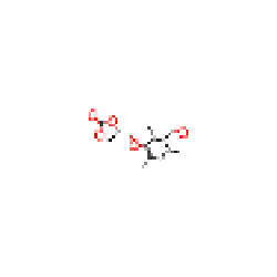 Cc1cc(C)c(OCC2COC(=O)O2)c(C)c1C=O